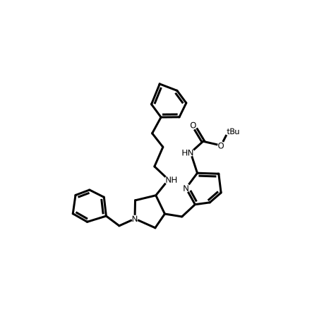 CC(C)(C)OC(=O)Nc1cccc(CC2CN(Cc3ccccc3)CC2NCCCc2ccccc2)n1